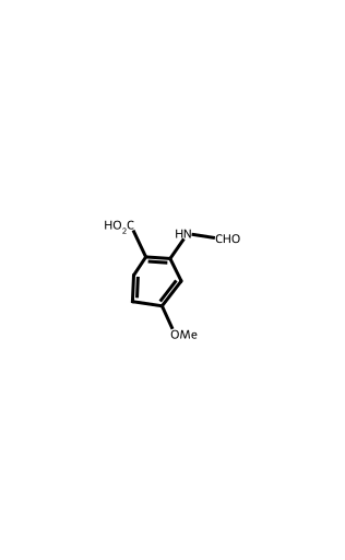 COc1ccc(C(=O)O)c(NC=O)c1